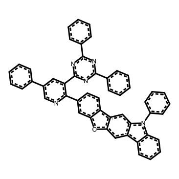 c1ccc(-c2cnc(-c3ccc4c(c3)oc3cc5c6ccccc6n(-c6ccccc6)c5cc34)c(-c3nc(-c4ccccc4)nc(-c4ccccc4)n3)c2)cc1